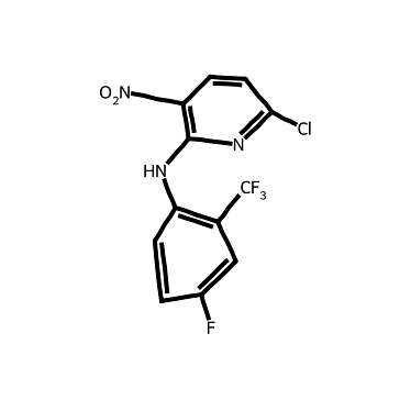 O=[N+]([O-])c1ccc(Cl)nc1Nc1ccc(F)cc1C(F)(F)F